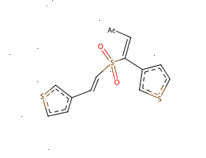 CC(=O)/C=C(/c1ccsc1)S(=O)(=O)C=Cc1ccsc1